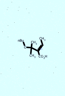 C/C=C(/C(=O)O)C(C)(C)OCCCC